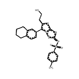 Cc1ccc(S(=O)(=O)N=c2nc3sc(CCO)c(-c4ccc5c(c4)CCCC5)n3s2)cc1